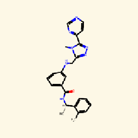 Cn1c(CNc2cccc(C(=O)N[C@@H](C#N)c3ccccc3C(F)(F)F)c2)nnc1-c1ccncn1